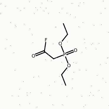 CCOP(=O)(CC(=O)F)OCC